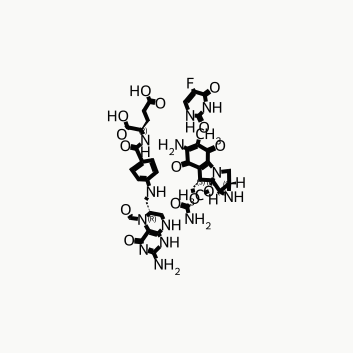 CO[C@@]12[C@H](COC(N)=O)C3=C(C(=O)C(C)=C(N)C3=O)N1C[C@@H]1N[C@@H]12.Nc1nc(=O)c2c([nH]1)NC[C@@H](CNc1ccc(C(=O)N[C@H](CCC(=O)O)C(=O)O)cc1)N2C=O.O=c1[nH]cc(F)c(=O)[nH]1